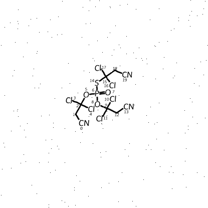 N#CCC(Cl)(Cl)OP(=O)(OC(Cl)(Cl)CC#N)SC(Cl)(Cl)CC#N